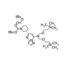 CC(C)(C)OC(=O)[C@@H]1CC[C@H](c2cc(N(COCC[Si](C)(C)C)COCC[Si](C)(C)C)n3nccc3n2)CN1C(=O)OC(C)(C)C